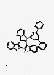 c1ccc(-c2cc(-c3ccccc3)nc(-n3c4ccccc4c4c5c6ccccc6oc5c5oc6ccccc6c5c43)n2)cc1